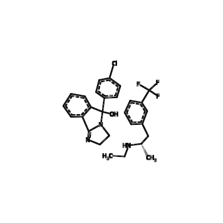 CCN[C@@H](C)Cc1cccc(C(F)(F)F)c1.OC1(c2ccc(Cl)cc2)c2ccccc2C2=NCCN21